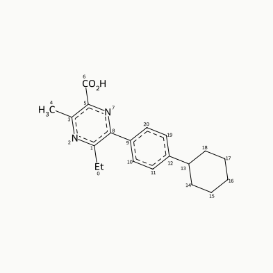 CCc1nc(C)c(C(=O)O)nc1-c1ccc(C2CCCCC2)cc1